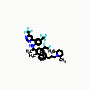 C=C(Nc1ccc(C(F)(F)F)cc1-c1cc(C(F)(F)F)ncn1)/C(CC(=C/C=C(\C)CCCN1[C@H](C)CCC[C@@H]1C)/C(F)=C/F)=C(\C)C1(C)CCCC1